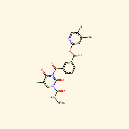 CCCCCCNC(=O)n1cc(F)c(=O)n(C(=O)c2cccc(C(=O)Oc3cc(OC(C)=O)c(Cl)cn3)c2)c1=O